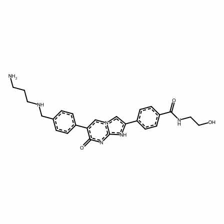 NCCCNCc1ccc(-c2cn3cc(-c4ccc(C(=O)NCCO)cc4)[nH]c3nc2=O)cc1